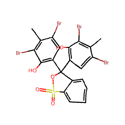 Cc1c(Br)cc(C2(c3cc(Br)c(C)c(Br)c3O)OS(=O)(=O)c3ccccc32)c(O)c1Br